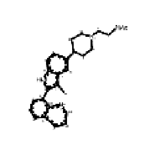 CNCCN1CCC(c2ccc3[nH]c(-c4cccc5cccnc45)c(C)c3c2)CC1